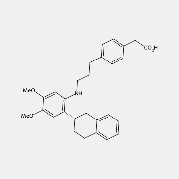 COc1cc(NCCCc2ccc(CC(=O)O)cc2)c([C@H]2CCc3c[c]ccc3C2)cc1OC